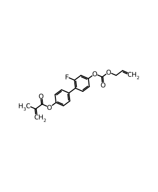 C=CCOC(=O)Oc1ccc(-c2ccc(OC(=O)C(=C)C)cc2)c(F)c1